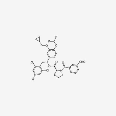 O=Cc1cccc(C(=O)N2CCS[C@H]2C(=O)O[C@@H](Cc2c(Cl)c[n+]([O-])cc2Cl)c2ccc(OC(F)F)c(OCC3CC3)c2)c1